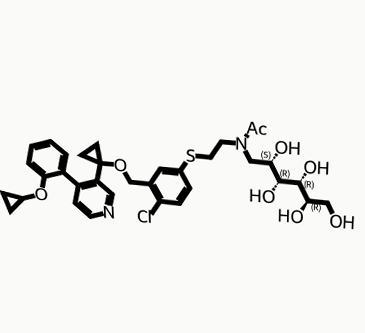 CC(=O)N(CCSc1ccc(Cl)c(COC2(c3cnccc3-c3ccccc3OC3CC3)CC2)c1)C[C@H](O)[C@@H](O)[C@H](O)[C@H](O)CO